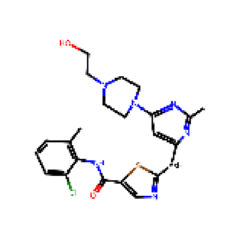 Cc1nc([AsH]c2ncc(C(=O)Nc3c(C)cccc3Cl)s2)cc(N2CCN(CCO)CC2)n1